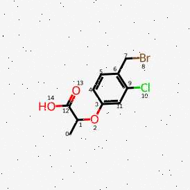 CC(Oc1ccc(CBr)c(Cl)c1)C(=O)O